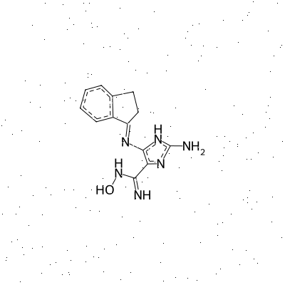 N=C(NO)c1nc(N)[nH]c1N=C1CCc2ccccc21